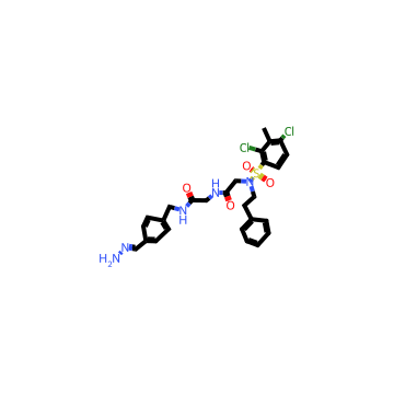 Cc1c(Cl)ccc(S(=O)(=O)N(CCc2ccccc2)CC(=O)NCC(=O)NCc2ccc(C=NN)cc2)c1Cl